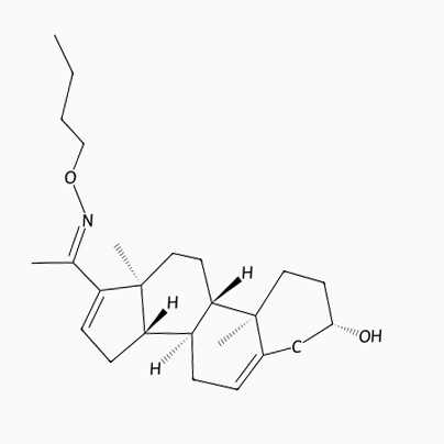 CCCCON=C(C)C1=CC[C@H]2[C@@H]3CC=C4C[C@@H](O)CC[C@]4(C)[C@H]3CC[C@]12C